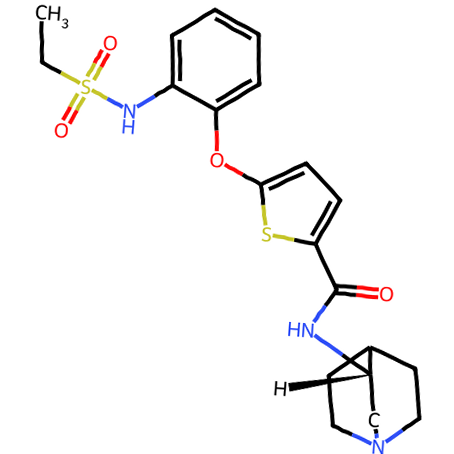 CCS(=O)(=O)Nc1ccccc1Oc1ccc(C(=O)N[C@H]2CN3CCC2CC3)s1